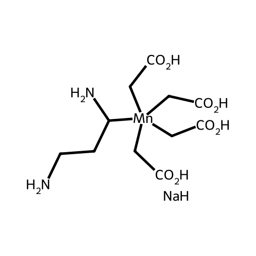 NCC[CH](N)[Mn]([CH2]C(=O)O)([CH2]C(=O)O)([CH2]C(=O)O)[CH2]C(=O)O.[NaH]